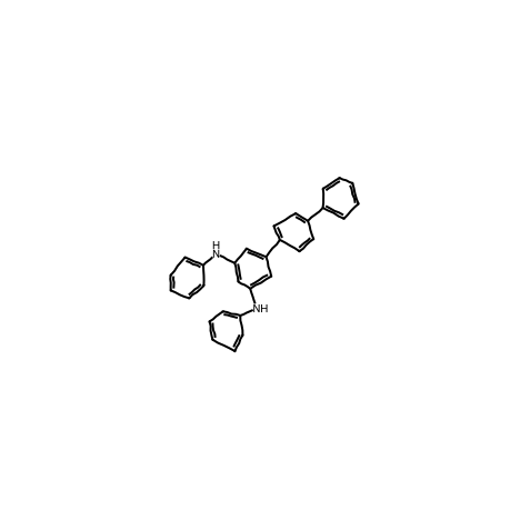 c1ccc(Nc2cc(Nc3ccccc3)cc(-c3ccc(-c4ccccc4)cc3)c2)cc1